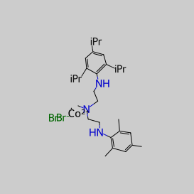 Cc1cc(C)c(NCCN(C)CCNc2c(C(C)C)cc(C(C)C)cc2C(C)C)c(C)c1.[Br-].[Br-].[Co+2]